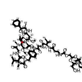 CCNC(CO)OC(COC(=O)NCCC(=O)NC(C(=O)NCC(=O)Nc1ccc(COC(=O)N(C)C(C(=O)NCC(=O)N(C)[C@@H]([C@@H](C)CC)[C@@H](CC(=O)N2CCC[C@H]2[C@H](OC)[C@@H](C)C(=O)N[C@H](C)[C@@H](O)c2ccccc2)OC)C(C)C)cc1)C(C)C)OC(C)(C)C